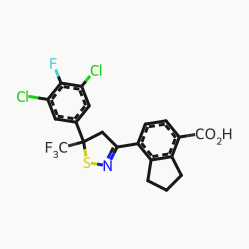 O=C(O)c1ccc(C2=NSC(c3cc(Cl)c(F)c(Cl)c3)(C(F)(F)F)C2)c2c1CCC2